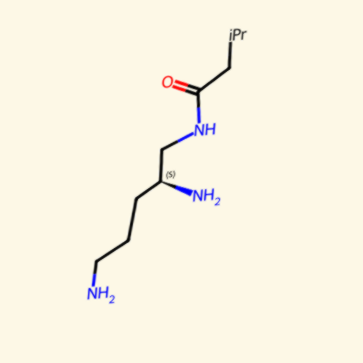 CC(C)CC(=O)NC[C@@H](N)CCCN